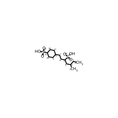 CCC(C)CC(CCC1CCC(S(=O)(=O)O)CC1)S(=O)(=O)O